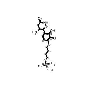 CC1CC(=O)NN=C1c1ccc(OCCCCO[Si](C)(C)C(C)(C)C)c(Cl)c1O